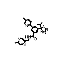 Cc1ccc(-c2cc(C(=O)NCc3cnc(C)cn3)cc(C3(C(C)C)N=NN=N3)c2)nc1